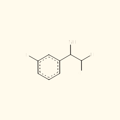 [2H]C([2H])C(N)c1cccc(F)c1